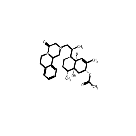 CC(=O)O[C@@H]1[C][C@@]2(O)[C@H](C)CC[C@@H]([C@H](C)CN3CC(=O)N4CCc5ccccc5C4C3)[C@H]2C=C1C